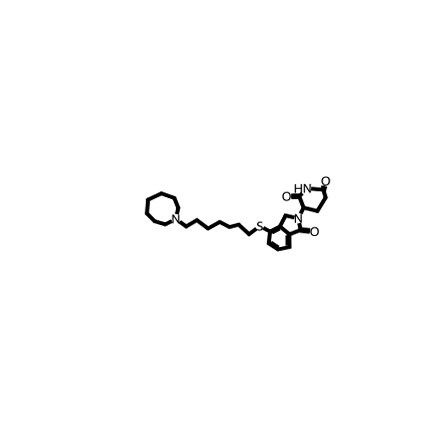 O=C1CCC(N2Cc3c(SCCCCCCCN4CCCCCCC4)cccc3C2=O)C(=O)N1